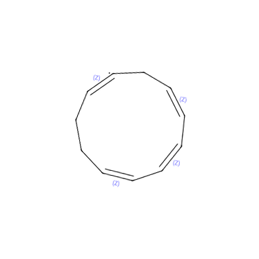 [C]1=C\CC\C=C/C=C\C=C/C/1